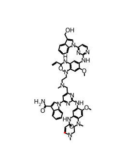 C=CC(=O)Nc1cc(Nc2nc(CN(C)CCN(C)c3cc(OC)c(Nc4nccc(-n5cc(CO)c6ccccc65)n4)cc3NC(=O)C=C)cc(-n3cc(C(N)=O)c4ccccc43)n2)c(OC)cc1N(C)CCN(C)C